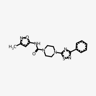 Cc1cc(NC(=O)N2CCN(c3nc(-c4ccccc4)ns3)CC2)on1